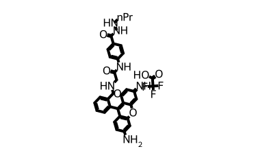 CCCNNC(=O)c1ccc(NC(=O)CNC(=O)c2ccccc2-c2c3ccc(=N)cc-3oc3cc(N)ccc23)cc1.O=C(O)C(F)(F)F